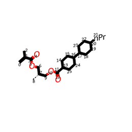 C=C(C)C(=O)OC[C@@H](C)COC(=O)C1CCC(C2CCC(CCC)CC2)CC1